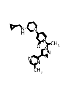 Cc1cncc(-c2cn(C(C)n3ccc(N4CCC[C@@H](NCC5CC5)C4)cc3=O)nn2)n1